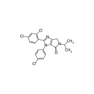 CC(C)N1Cc2nc(-c3ccc(Cl)cc3Cl)n(-c3ccc(Cl)cc3)c2C1=O